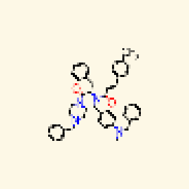 CN(Cc1ccccc1)c1ccc(CN(C(=O)/C=C/c2ccc(C(F)(F)F)cc2)[C@@H](Cc2ccccc2)C(=O)N2CCN(Cc3ccccc3)CC2)cc1